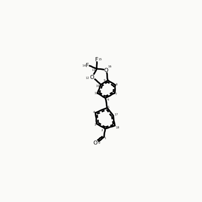 O=Cc1ccc(-c2ccc3c(c2)OC(F)(F)O3)cc1